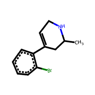 CC1CC(c2ccccc2Br)=CCN1